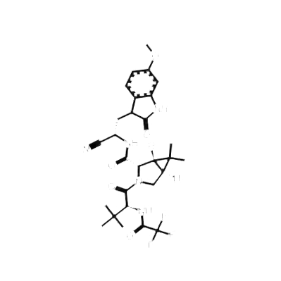 COc1ccc2c(c1)NC(=O)C2C[C@@H](C#N)NC(=O)[C@@H]1[C@H]2[C@H](CN1C(=O)[C@@H](NC(=O)C(F)(F)F)C(C)(C)C)C2(C)C